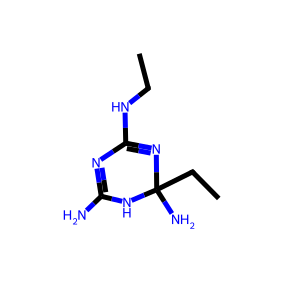 CCNC1=NC(N)(CC)NC(N)=N1